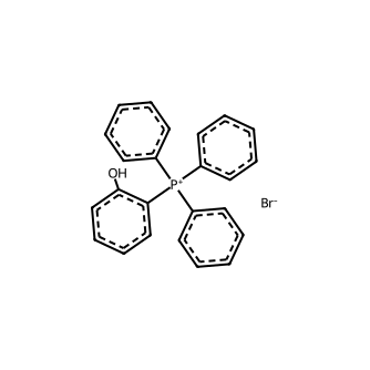 Oc1ccccc1[P+](c1ccccc1)(c1ccccc1)c1ccccc1.[Br-]